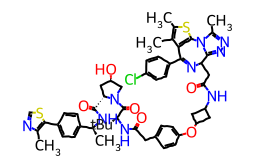 Cc1ncsc1-c1ccc([C@H](C)NC(=O)[C@@H]2C[C@@H](O)CN2C(=O)[C@@H](NC(=O)Cc2ccc(OC3CC(NC(=O)CC4N=C(c5ccc(Cl)cc5)c5c(sc(C)c5C)-n5c(C)nnc54)C3)cc2)C(C)(C)C)cc1